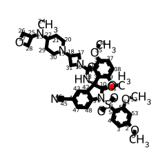 COc1ccc(S(=O)(=O)N2C(=O)[C@@](NC(=O)N3CC(N4CCC(N(C)C5COC5)CC4)C3)(c3cc(OC)ccc3OC)c3cc(C#N)ccc32)c(OC)c1